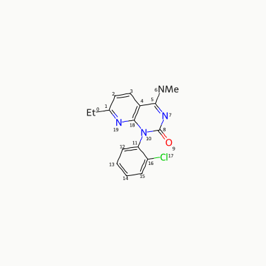 CCc1ccc2c(NC)nc(=O)n(-c3ccccc3Cl)c2n1